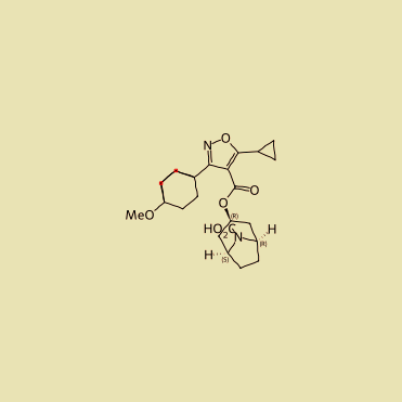 COC12CCC(c3noc(C4CC4)c3C(=O)O[C@H]3C[C@H]4CC[C@@H](C3)N4C(=O)O)(CC1)CC2